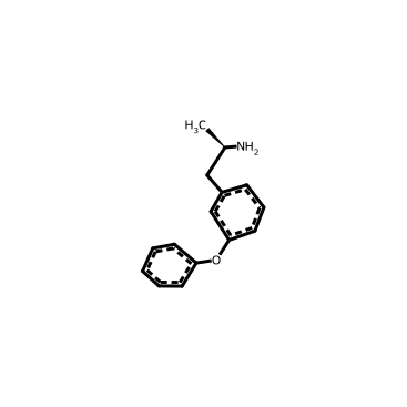 C[C@@H](N)Cc1cccc(Oc2ccccc2)c1